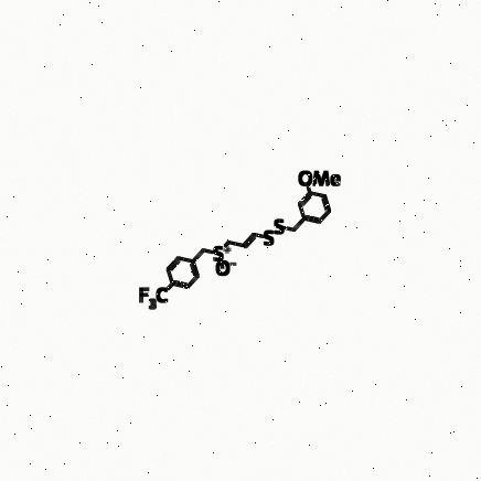 COc1cccc(CSS/C=C/C[S+]([O-])Cc2ccc(C(F)(F)F)cc2)c1